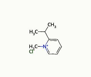 CC(C)c1cccc[n+]1C.[Cl-]